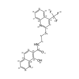 O=C(NCCSc1cc(C(F)(F)F)c2ccccc2n1)c1ccc2cccnc2c1O